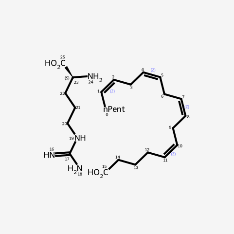 CCCCC/C=C\C/C=C\C/C=C\C/C=C\CCCC(=O)O.N=C(N)NCCC[C@H](N)C(=O)O